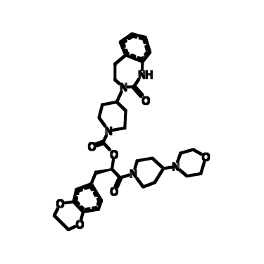 O=C(O[C@H](Cc1ccc2c(c1)OCCO2)C(=O)N1CCC(N2CCOCC2)CC1)N1CCC(N2CCc3ccccc3NC2=O)CC1